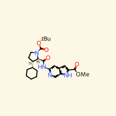 COC(=O)c1cc2cc(NC(=O)[C@H]3[C@H](C4CCCCC4)CCN3C(=O)OC(C)(C)C)ncc2[nH]1